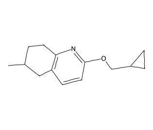 CC1CCc2nc(OCC3CC3)ccc2C1